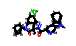 Cl.Cn1c2ccccc2c2cc(C(=O)NC3(C)C(=O)N(c4ccccc4)c4ccccc43)ncc21